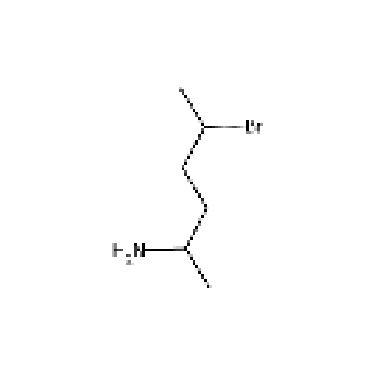 CC(N)CCC(C)Br